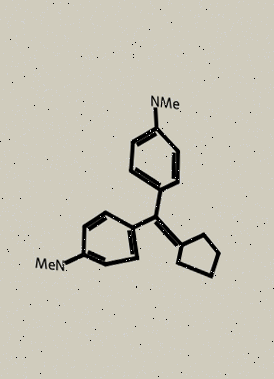 CNc1ccc(C(=C2CCCC2)c2ccc(NC)cc2)cc1